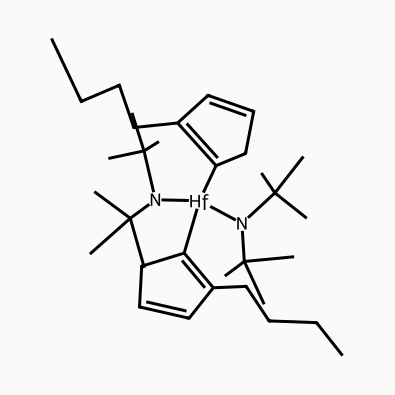 CCCCC1=[C]([Hf]([C]2=C(CCCC)C=CC2)([N](C(C)(C)C)C(C)(C)C)[N](C(C)(C)C)C(C)(C)C)CC=C1